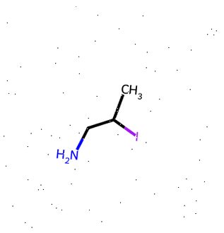 CC(I)CN